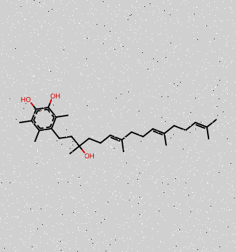 CC(C)=CCC/C(C)=C/CC/C(C)=C/CCC(C)(O)CCc1c(C)c(C)c(O)c(O)c1C